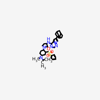 CC(C)N(C)C1CCC(N2CCC(Nc3ncnn4cc(C56CC7CC(CC(C7)C5)C6)cc34)C2=O)C(CS(=O)(=O)c2ccccc2)C1